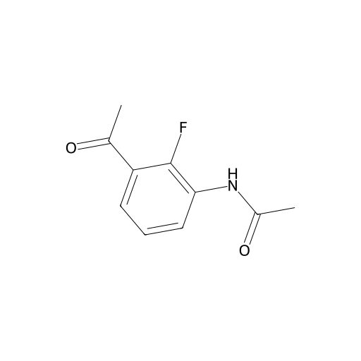 CC(=O)Nc1cccc(C(C)=O)c1F